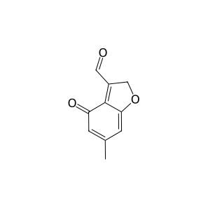 CC1=CC(=O)C2=C(C=O)COC2=C1